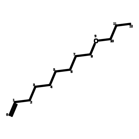 C=CCCCCCCCOCCC